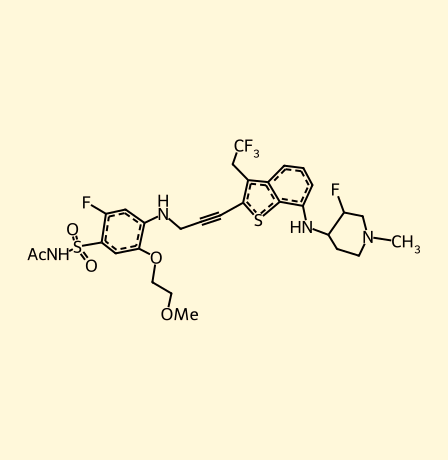 COCCOc1cc(S(=O)(=O)NC(C)=O)c(F)cc1NCC#Cc1sc2c(NC3CCN(C)CC3F)cccc2c1CC(F)(F)F